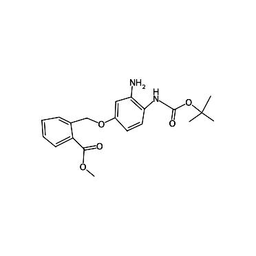 COC(=O)c1ccccc1COc1ccc(NC(=O)OC(C)(C)C)c(N)c1